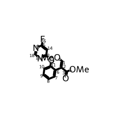 CO/C=C(/C(=O)OC)c1ccccc1Oc1cc(F)ncn1